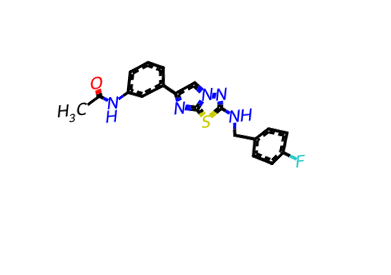 CC(=O)Nc1cccc(-c2cn3nc(NCc4ccc(F)cc4)sc3n2)c1